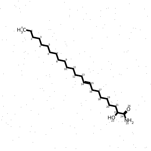 CCCCCCCCCCCCCCC=CCCCCCCC(O)C(N)=O